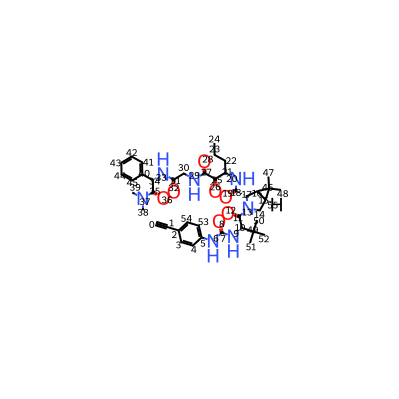 C#Cc1ccc(NC(=O)N[C@H](C(=O)N2C[C@H]3C([C@H]2C(=O)NC(CCC)C(=O)C(=O)NCC(=O)N[C@H](C(=O)N(C)C)c2ccccc2)C3(C)C)C(C)(C)C)cc1